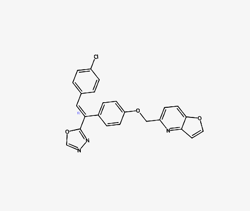 Clc1ccc(/C=C(\c2ccc(OCc3ccc4occc4n3)cc2)c2nnco2)cc1